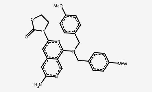 COc1ccc(CN(Cc2ccc(OC)cc2)c2nc(N3CCOC3=O)cc3cc(N)ncc23)cc1